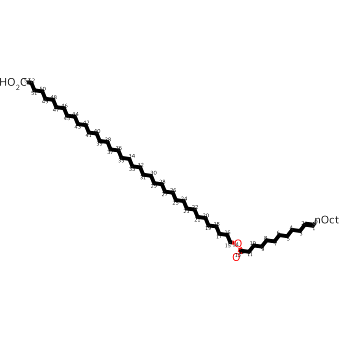 CCCCCCCCC=CCCCCCCCCCC(=O)OCCCCCCCCCCCCCCCCCCCCCCCCCCCCCCCCCCCCCCC(=O)O